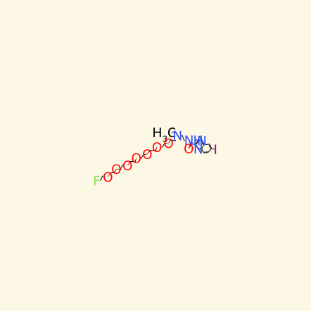 CCN(CCNC(=O)c1cnc2cc(I)ccc2n1)CCOCCOCCOCCOCCOCCOCCOCCF